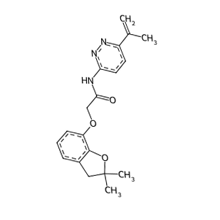 C=C(C)c1ccc(NC(=O)COc2cccc3c2OC(C)(C)C3)nn1